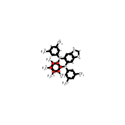 FC(F)(F)c1cc(P(c2cc(C(F)(F)F)cc(C(F)(F)F)c2)c2cc3c(cc2P(c2cc(C(F)(F)F)cc(C(F)(F)F)c2)c2cc(C(F)(F)F)cc(C(F)(F)F)c2)OCO3)cc(C(F)(F)F)c1